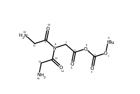 CC(C)(C)OC(=O)OC(=O)CN(C(=O)CN)C(=O)CN